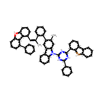 C/C(=C/c1cccc2oc3cccc(-c4ccccc4)c3c12)c1ccccc1-c1cc2c3ccccc3n(-c3nc(-c4ccccc4)nc(-c4cccc5c4sc4ccccc45)n3)c2cc1C